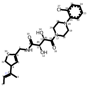 C/C=C(\C)C1C=C(CNC(=O)[C@H](O)[C@@H](O)C(=O)N2CCN(c3ccccc3Cl)CC2)SC1